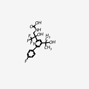 CC(C)(O)c1cc(-c2ccc(F)cc2)nc(C(O)(CNC(=O)O)C(F)(F)F)c1